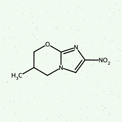 CC1COc2nc([N+](=O)[O-])cn2C1